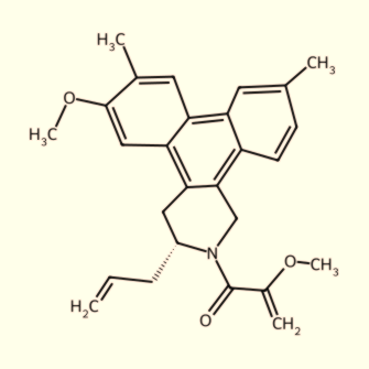 C=CC[C@@H]1Cc2c(c3ccc(C)cc3c3cc(C)c(OC)cc23)CN1C(=O)C(=C)OC